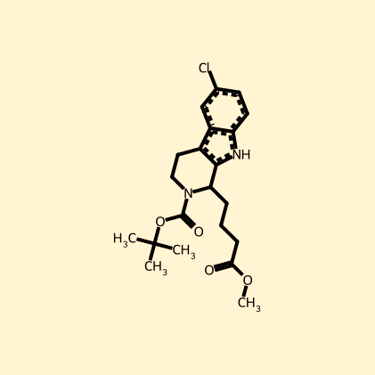 COC(=O)CCCC1c2[nH]c3ccc(Cl)cc3c2CCN1C(=O)OC(C)(C)C